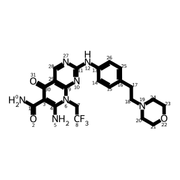 NC(=O)c1c(N)n(CC(F)(F)F)c2nc(Nc3ccc(CCN4CCOCC4)cc3)ncc2c1=O